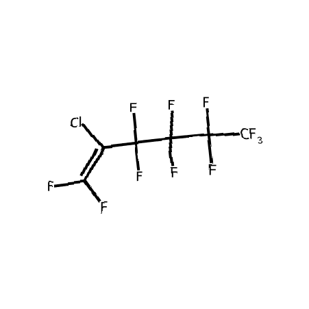 FC(F)=C(Cl)C(F)(F)C(F)(F)C(F)(F)C(F)(F)F